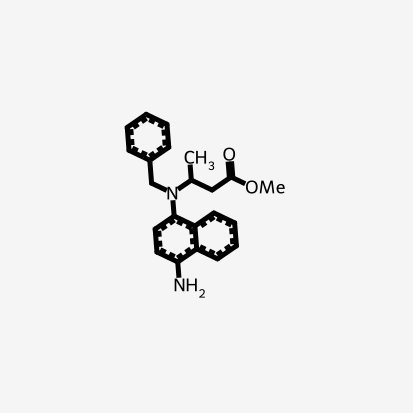 COC(=O)CC(C)N(Cc1ccccc1)c1ccc(N)c2ccccc12